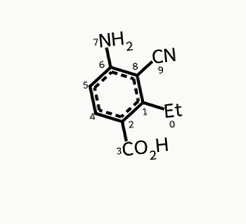 CCc1c(C(=O)O)ccc(N)c1C#N